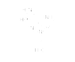 CCCCn1cnc2c(O)c(N)cc(N)c2c1=O